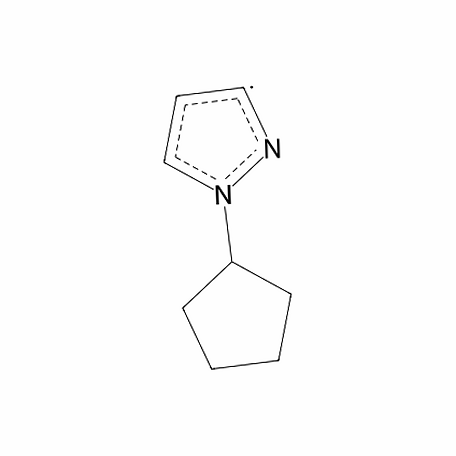 [c]1ccn(C2CCCC2)n1